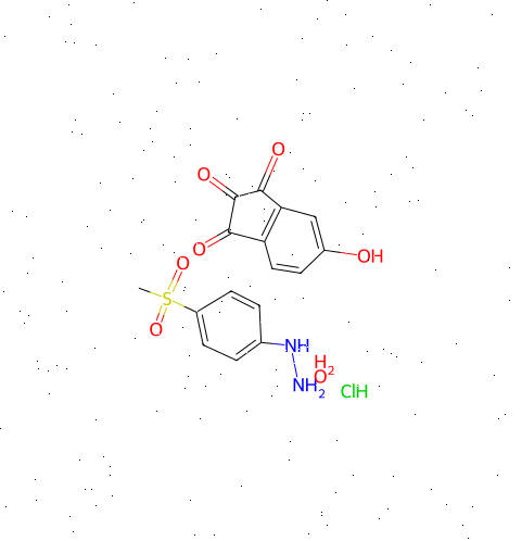 CS(=O)(=O)c1ccc(NN)cc1.Cl.O.O=c1c(=O)c2ccc(O)cc2c1=O